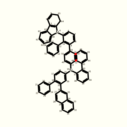 C1=Cc2c(n(-c3cccc(-c4ccc(N(c5ccc(-c6ccccc6)c(-c6ccc7ccccc7c6)c5)c5ccccc5-c5ccccc5)cc4)c3-c3ccccc3)c3ccccc23)CC1